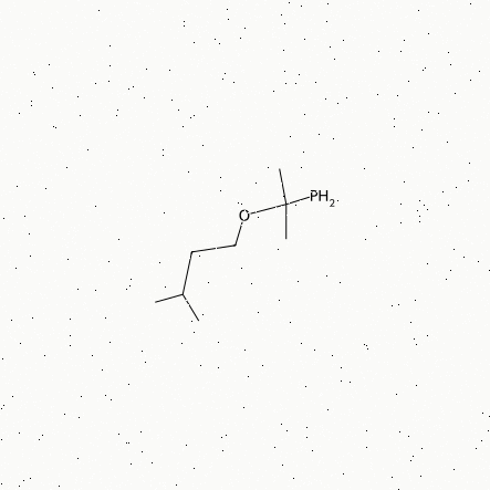 CC(C)CCOC(C)(C)P